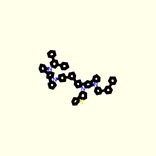 c1ccc(-c2cccc(-c3cccc(-n4c5ccccc5c5cc6c7cc(-c8cccc(-c9ccc(-n%10c%11ccccc%11c%11cc%12c%13ccccc%13n(-c%13cc(-c%14ccccc%14)cc(-c%14ccccc%14)c%13)c%12cc%11%10)cc9)c8)ccc7n(-c7ccc8sc9ccccc9c8c7)c6cc54)c3)c2)cc1